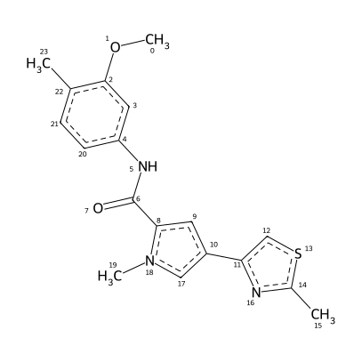 COc1cc(NC(=O)c2cc(-c3csc(C)n3)cn2C)ccc1C